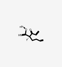 C=CCC[C@@](I)(C(=N)OCCC)C(=O)C=C